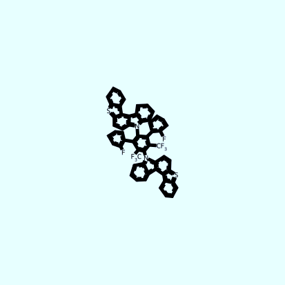 Fc1ccccc1-c1c(-n2c3ccccc3c3c4c(ccc32)sc2ccccc24)c(-c2ccccc2F)c(C(F)(F)F)c(-n2c3ccccc3c3c4c(ccc32)sc2ccccc24)c1C(F)(F)F